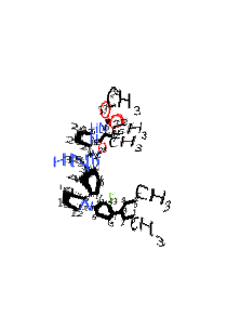 CCCC(CCC)c1ccc(N2CCC[C@@H]2c2ccc3nc([C@@H]4CCCN4C(=O)[C@@H](NC(=O)OC)C(C)C)[nH]c3c2)cc1F